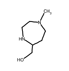 CN1CCNC(CO)CC1